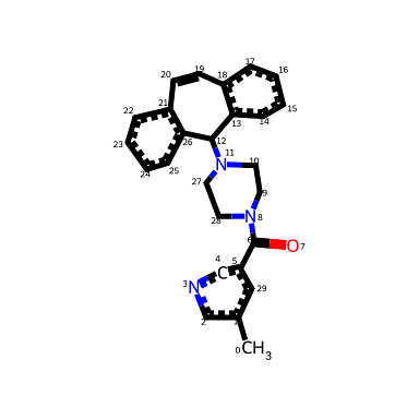 Cc1cncc(C(=O)N2CCN(C3c4ccccc4C=Cc4ccccc43)CC2)c1